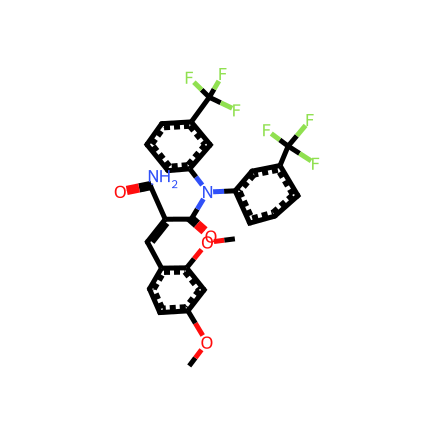 COc1ccc(C=C(C(N)=O)C(=O)N(c2cccc(C(F)(F)F)c2)c2cccc(C(F)(F)F)c2)c(OC)c1